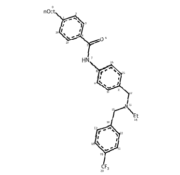 CCCCCCCCc1ccc(C(=O)Nc2ccc(CN(CC)Cc3ccc(C(F)(F)F)cc3)cc2)cc1